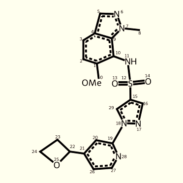 COc1ccc2cnn(C)c2c1NS(=O)(=O)c1cnn(-c2cc(C3CCO3)ccn2)c1